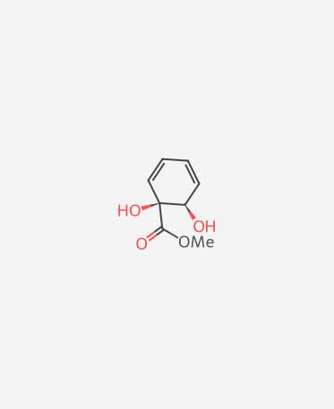 COC(=O)[C@]1(O)C=CC=C[C@H]1O